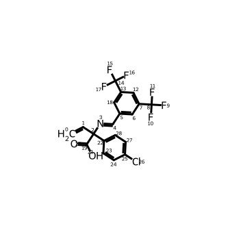 C=CC(N=Cc1cc(C(F)(F)F)cc(C(F)(F)F)c1)(C(=O)O)c1ccc(Cl)cc1